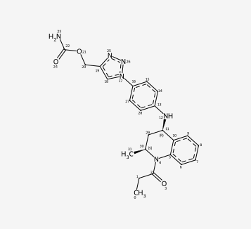 CCC(=O)N1c2ccccc2[C@H](Nc2ccc(-n3cc(COC(N)=O)nn3)cc2)C[C@@H]1C